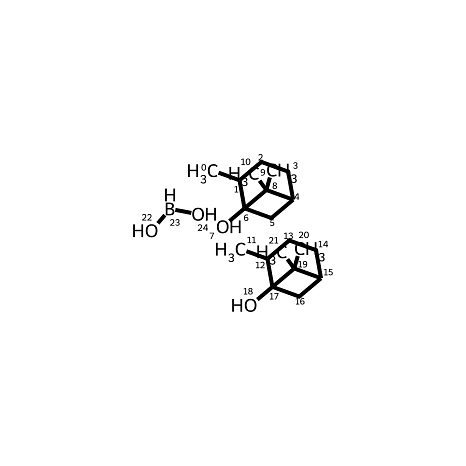 CC1CCC2CC1(O)C2(C)C.CC1CCC2CC1(O)C2(C)C.OBO